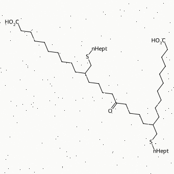 CCCCCCCSCC(CCCCCCCCCC(=O)O)CCCCC(=O)CCCCC(CCCCCCCCCC(=O)O)CSCCCCCCC